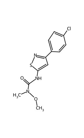 CON(C)C(=O)Nc1cc(-c2ccc(Cl)cc2)ns1